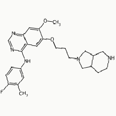 COc1cc2ncnc(Nc3ccc(F)c(C)c3)c2cc1OCCCN1CC2CCNCC2C1